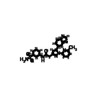 Cc1cccc(-n2nc(CC(=O)Nc3cccc(S(N)(=O)=O)c3)cc2-c2ccc3ncsc3c2)n1